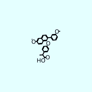 COc1cccc(-c2ccc3cc(OC)ccc3c2Oc2ccc(C(C)C(=O)O)cc2)c1